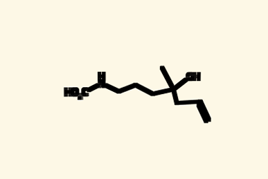 C=CCC(C)(O)CCCNC(=O)O